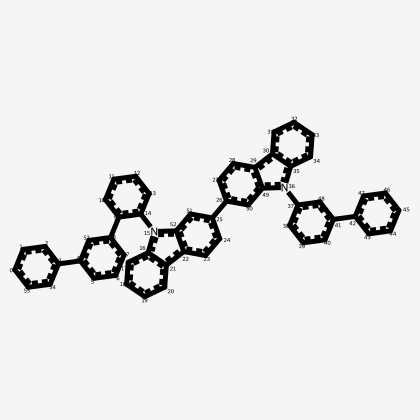 c1ccc(-c2cccc(-c3ccccc3-n3c4ccccc4c4ccc(-c5ccc6c7ccccc7n(-c7cccc(-c8ccccc8)c7)c6c5)cc43)c2)cc1